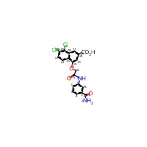 NC(=O)c1cccc(NC(=O)COc2cc(C(=O)O)cc3c(Cl)c(Cl)ccc23)c1